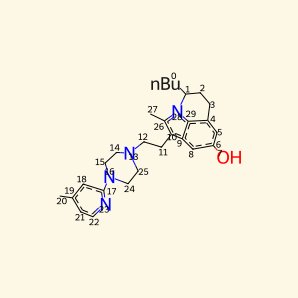 CCCCC1CCc2cc(O)cc3c(CCN4CCN(c5cc(C)ccn5)CC4)c(C)n1c23